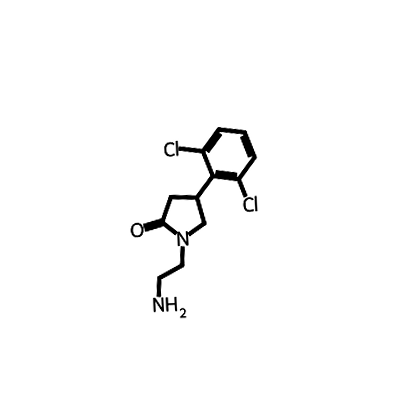 NCCN1CC(c2c(Cl)cccc2Cl)CC1=O